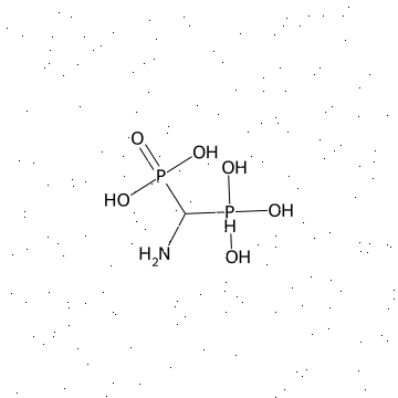 NC(P(=O)(O)O)[PH](O)(O)O